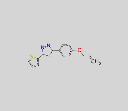 C=CCOc1ccc(C2CC(c3cccs3)N=N2)cc1